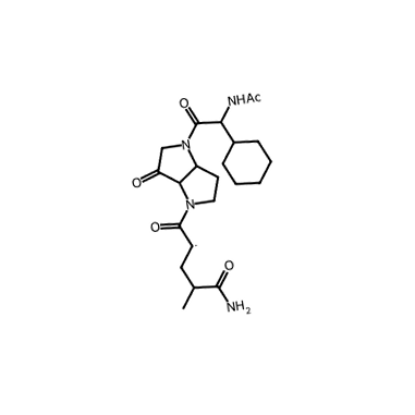 CC(=O)NC(C(=O)N1CC(=O)C2C1CCN2C(=O)[CH]CC(C)C(N)=O)C1CCCCC1